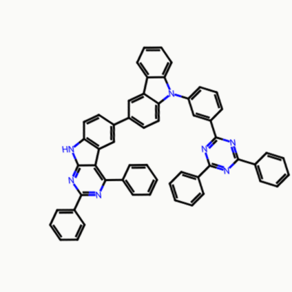 c1ccc(-c2nc(-c3ccccc3)nc(-c3cccc(-n4c5ccccc5c5cc(-c6ccc7[nH]c8nc(-c9ccccc9)nc(-c9ccccc9)c8c7c6)ccc54)c3)n2)cc1